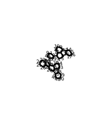 c1cc(-c2ccc3c4c(cccc24)-c2ccccc2-3)cc(-n2c3ccccc3c3cc4c5c(cccc5c32)-c2ccccc2-4)c1